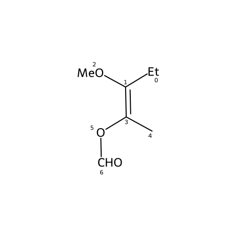 CC/C(OC)=C(\C)OC=O